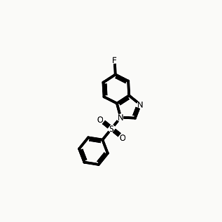 O=S(=O)(c1ccccc1)n1cnc2cc(F)ccc21